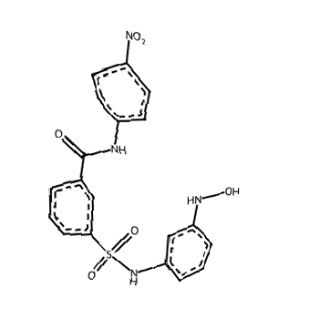 O=C(Nc1ccc([N+](=O)[O-])cc1)c1cccc(S(=O)(=O)Nc2cccc(NO)c2)c1